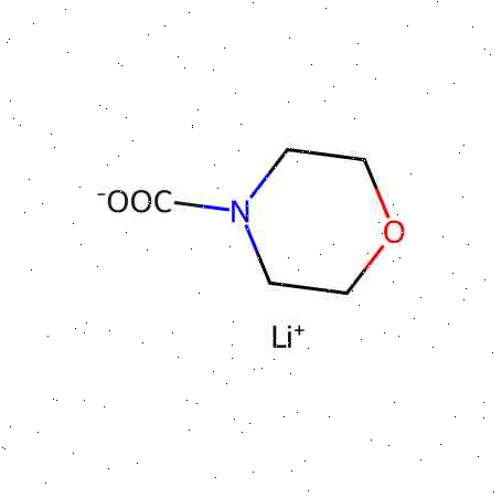 O=C([O-])N1CCOCC1.[Li+]